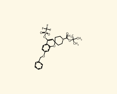 CC(C)(C)OC(=O)N1CCC2(C=C(OS(=O)(=O)C(F)(F)F)c3ccc(OCc4ccccc4)cc3O2)CC1